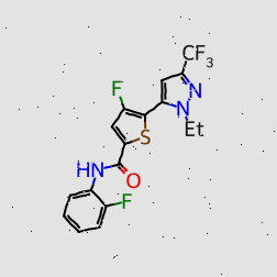 CCn1nc(C(F)(F)F)cc1-c1sc(C(=O)Nc2ccccc2F)cc1F